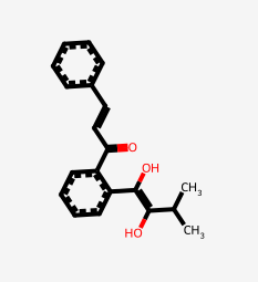 CC(C)/C(O)=C(\O)c1ccccc1C(=O)/C=C/c1ccccc1